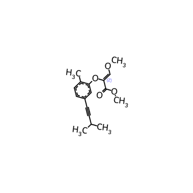 CO/C=C(\Oc1cc(C#CC(C)C)ccc1C)C(=O)OC